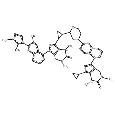 Cc1c(-c2nc3cccc(-c4nc(C5CC5C5CC(c6cc7cccc(-c8nc(C9CC9)n9c8CN(C)C(=O)[C@@H]9C)c7cn6)CCO5)n5c4CN(C)C(=O)[C@@H]5C)c3cc2C#N)cnn1C